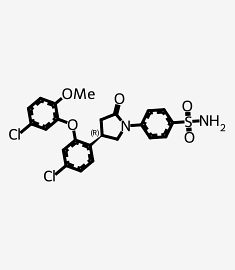 COc1ccc(Cl)cc1Oc1cc(Cl)ccc1[C@H]1CC(=O)N(c2ccc(S(N)(=O)=O)cc2)C1